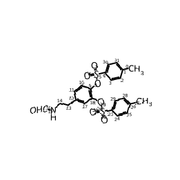 Cc1ccc(S(=O)(=O)Oc2ccc(CCNC=O)cc2OS(=O)(=O)c2ccc(C)cc2)cc1